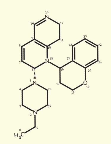 CCN1CCN([C@@H]2C=CC3=C(CCN=C3)N2C2CCOc3ccccc32)CC1